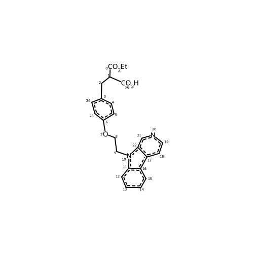 CCOC(=O)C(Cc1ccc(OCCn2c3ccccc3c3ccncc32)cc1)C(=O)O